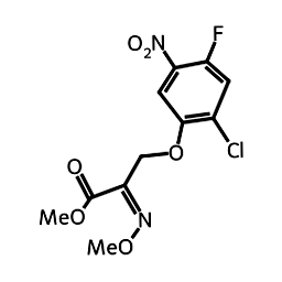 CON=C(COc1cc([N+](=O)[O-])c(F)cc1Cl)C(=O)OC